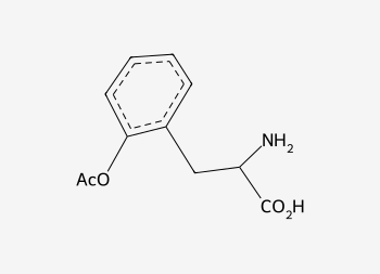 CC(=O)Oc1ccccc1CC(N)C(=O)O